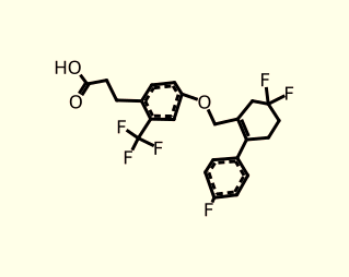 O=C(O)CCc1ccc(OCC2=C(c3ccc(F)cc3)CCC(F)(F)C2)cc1C(F)(F)F